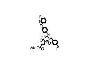 COC(=O)CCn1c(=O)[nH]/c(=N\c2ccc(Oc3cccc(F)n3)cc2)n(Cc2ccc(CF)cc2)c1=O